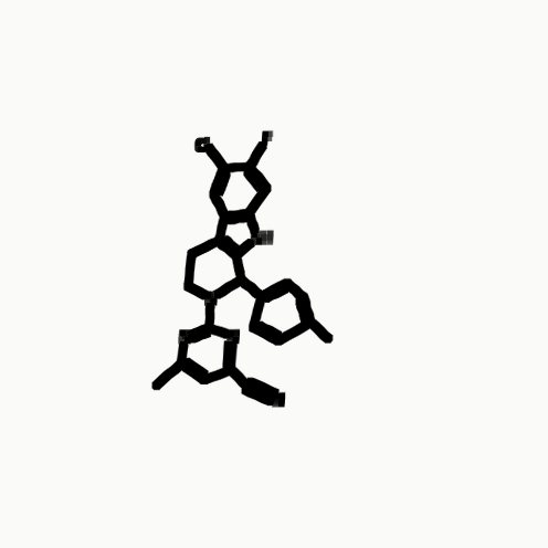 Cc1ccc(C2c3[nH]c4cc(F)c(Cl)cc4c3CCN2c2nc(C)cc(C#N)n2)cc1